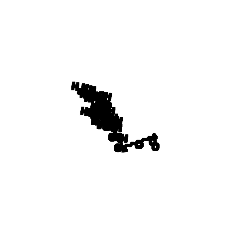 CC(C)(COP(=O)(O)OP(=O)(O)OCC1OC(n2cnc3c(N)ncnc32)C(O)C1OP(=O)(O)O)C(O)C(=O)NCCC(=O)NCCC(=O)C1(CCCc2cccc(CCCC3(OC=O)CC3)c2)CC1